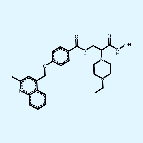 CCN1CCN(C(CNC(=O)c2ccc(OCc3cc(C)nc4ccccc34)cc2)C(=O)NO)CC1